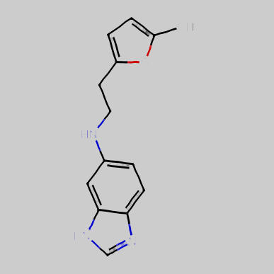 Cc1ccc(CCNc2ccc3nc[nH]c3c2)o1